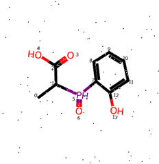 CC(C(=O)O)[PH](=O)c1ccccc1O